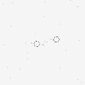 COc1ccc(C(C)NOCc2ccccc2)cc1